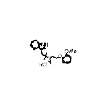 COc1ccccc1OCCNC(C)(C)Cc1c[nH]c2ccccc12.Cl